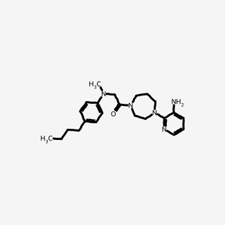 CCCCc1ccc(N(C)CC(=O)N2CCCN(c3ncccc3N)CC2)cc1